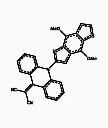 COc1c2cc(N3c4ccccc4C(=C(C#N)C#N)c4ccccc43)sc2c(OC)c2ccsc12